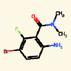 CN(C)C(=O)c1c(N)ccc(Br)c1F